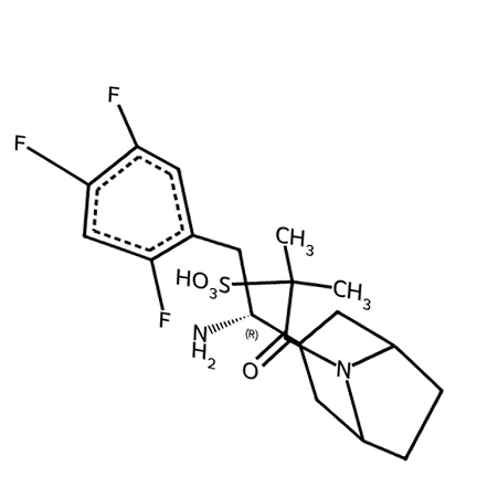 CC(C)(C(=O)N1C2CCC1CC([C@H](N)Cc1cc(F)c(F)cc1F)C2)S(=O)(=O)O